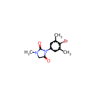 Cc1cc(N2C(=O)CN(C)C2=O)cc(C)c1Br